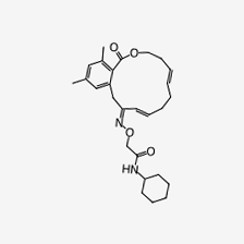 Cc1cc(C)c2c(c1)CC(=N/OCC(=O)NC1CCCCC1)/C=C/CC/C=C/CCOC2=O